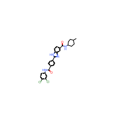 CC1CCC(NC(=O)c2ccc3[nH]c(-c4ccc(C(=O)Nc5ccc(Cl)c(Cl)c5)cc4)nc3c2)CC1